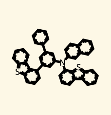 c1ccc(-c2cc(-c3cccc4sc5ccccc5c34)cc(N(c3ccc4ccccc4c3)c3cccc4c3sc3ccccc34)c2)cc1